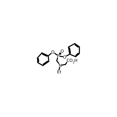 CCN(CC(=O)O)CP(=O)(Oc1ccccc1)Oc1ccccc1